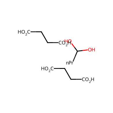 CCCC(O)O.O=C(O)CCC(=O)O.O=C(O)CCC(=O)O